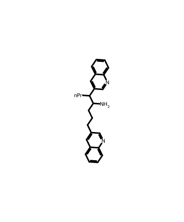 [CH2]CCC(c1cnc2ccccc2c1)C(N)CCCc1cnc2ccccc2c1